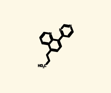 O=C(O)CCc1ccc(-c2ccncn2)c2ncccc12